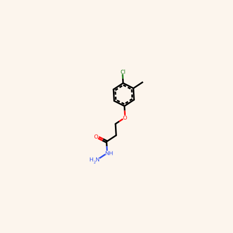 Cc1cc(OCCC(=O)NN)ccc1Cl